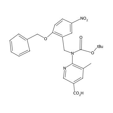 Cc1cc(C(=O)O)cnc1N(Cc1cc([N+](=O)[O-])ccc1OCc1ccccc1)C(=O)OC(C)(C)C